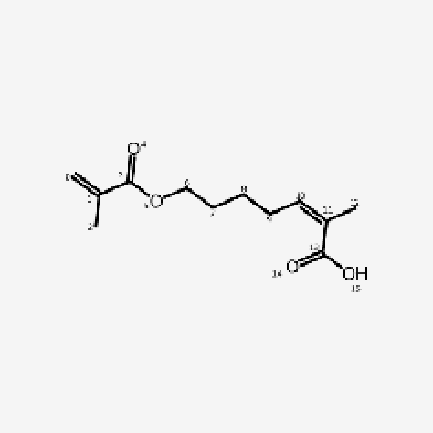 C=C(C)C(=O)OCCCCC=C(C)C(=O)O